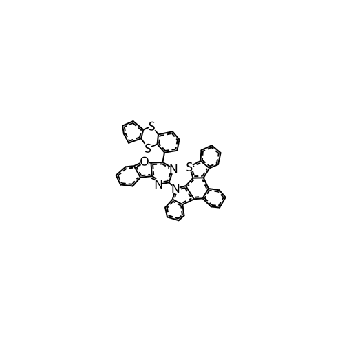 c1ccc2c(c1)Sc1cccc(-c3nc(-n4c5ccccc5c5c6ccccc6c6c7ccccc7sc6c54)nc4c3oc3ccccc34)c1S2